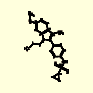 CCCn1c(-c2ccc(NS(=O)(=O)C3CC3)cc2)c(N)c2ccc(OC)cc21